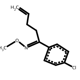 C=CCCC(=NOC)c1ccc(Cl)cc1